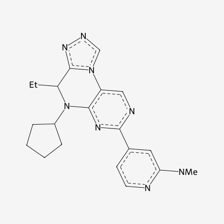 CCC1c2nncn2-c2cnc(-c3ccnc(NC)c3)nc2N1C1CCCC1